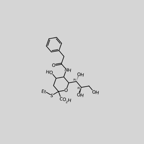 CCSC1(C(=O)O)CC(O)C(NC(=O)Cc2ccccc2)C([C@H](O)[C@H](O)CO)O1